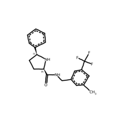 Cc1cc(CNC(=O)[C@H]2CC[C@@H](c3ccccc3)N2)cc(C(F)(F)F)c1